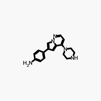 Nc1ccc(-c2cc3c(N4CCNCC4)ccnn3c2)cc1